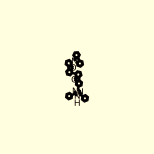 c1ccc(C2=NC(c3ccc4c(c3)oc3c(-c5cccc6c5oc5c(-n7c8ccccc8c8ccccc87)cccc56)cccc34)=NC(c3ccccc3)N2)cc1